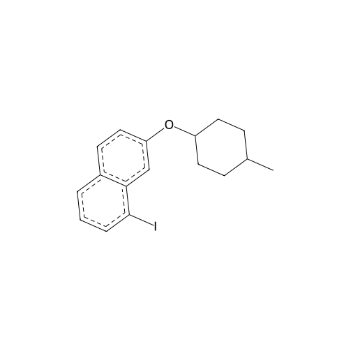 CC1CCC(Oc2ccc3cccc(I)c3c2)CC1